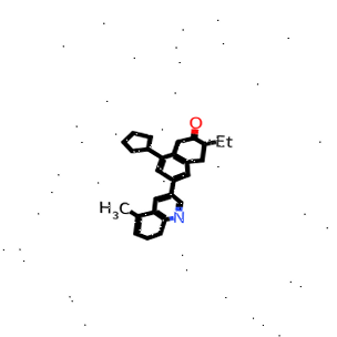 CCC1Cc2cc(-c3cnc4c(c3)C(C)=CCC4)cc(C3CCCC3)c2CC1=O